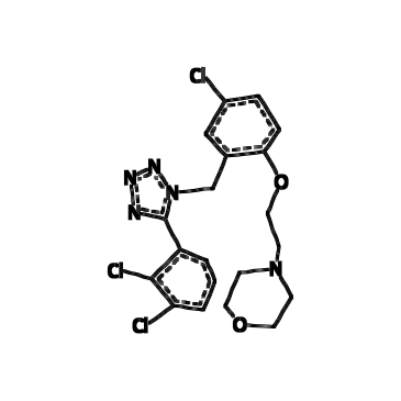 Clc1ccc(OCCN2CCOCC2)c(Cn2nnnc2-c2cccc(Cl)c2Cl)c1